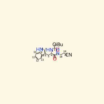 CC(C)COC(=O)NC(Cc1c[nH]c2ccccc12)C(=O)NCCC#N